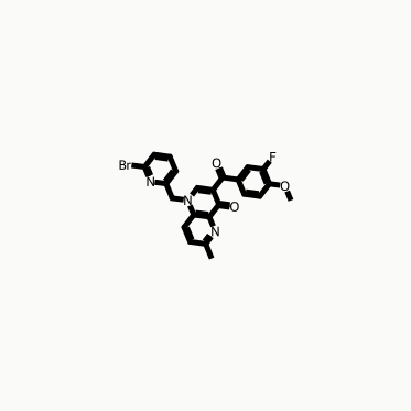 COc1ccc(C(=O)c2cn(Cc3cccc(Br)n3)c3ccc(C)nc3c2=O)cc1F